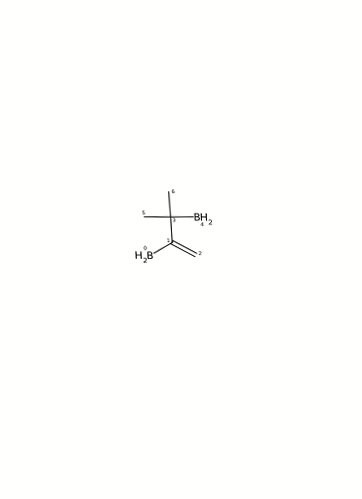 BC(=C)C(B)(C)C